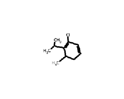 CC(C)C1=C(Cl)C=CCC1C